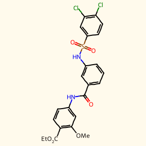 CCOC(=O)c1ccc(NC(=O)c2cccc(NS(=O)(=O)c3ccc(Cl)c(Cl)c3)c2)cc1OC